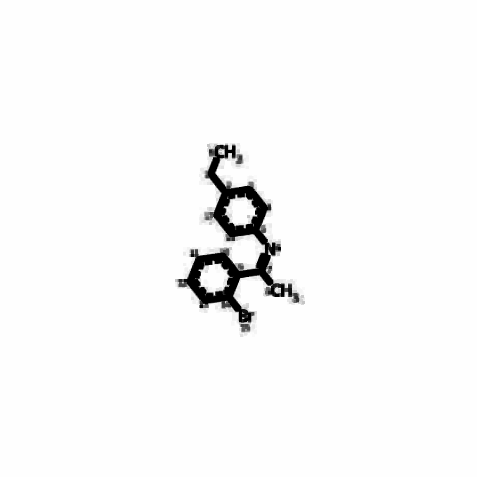 CCc1ccc(N=C(C)c2ccccc2Br)cc1